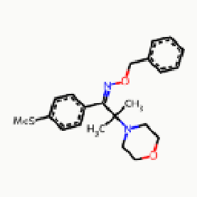 CSc1ccc(C(=NOCc2ccccc2)C(C)(C)N2CCOCC2)cc1